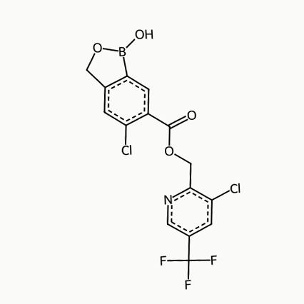 O=C(OCc1ncc(C(F)(F)F)cc1Cl)c1cc2c(cc1Cl)COB2O